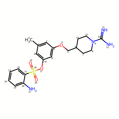 Cc1cc(OCC2CCN(C(=N)N)CC2)cc(OS(=O)(=O)c2ccccc2N)c1